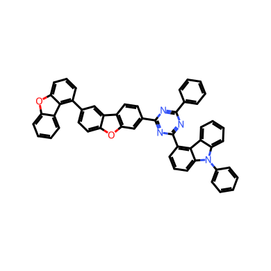 c1ccc(-c2nc(-c3ccc4c(c3)oc3ccc(-c5cccc6oc7ccccc7c56)cc34)nc(-c3cccc4c3c3ccccc3n4-c3ccccc3)n2)cc1